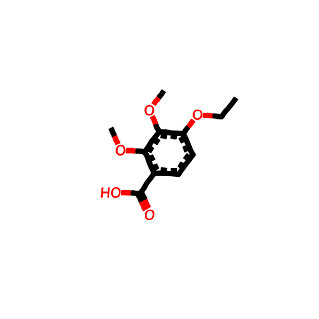 CCOc1ccc(C(=O)O)c(OC)c1OC